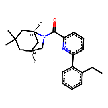 CCc1ccccc1-c1cccc(C(=O)N2C[C@]3(C)C[C@H]2CC(C)(C)C3)n1